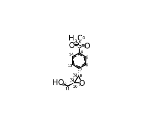 CS(=O)(=O)c1ccc([C@@H]2O[C@H]2CO)cc1